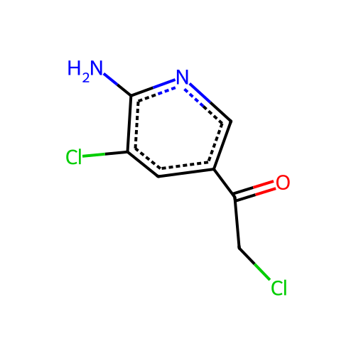 Nc1ncc(C(=O)CCl)cc1Cl